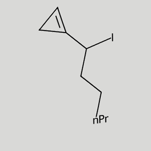 CCCCCC(I)C1=CC1